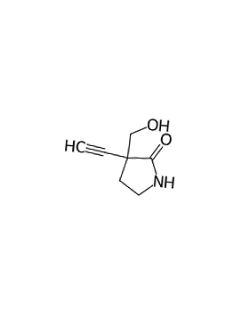 C#CC1(CO)CCNC1=O